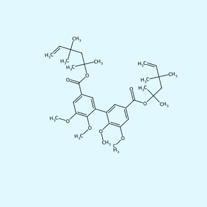 C=CC(C)(C)CC(C)(C)OC(=O)c1cc(OC)c(OC)c(-c2cc(C(=O)OC(C)(C)CC(C)(C)C=C)cc(OC)c2OC)c1